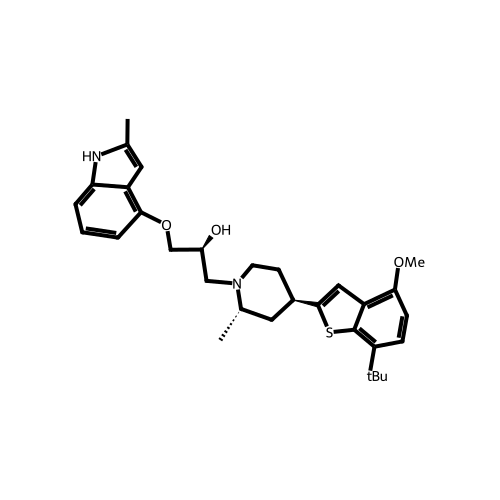 COc1ccc(C(C)(C)C)c2sc([C@@H]3CCN(C[C@H](O)COc4cccc5[nH]c(C)cc45)[C@@H](C)C3)cc12